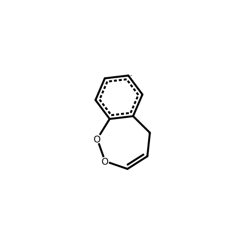 [c]1ccc2c(c1)CC=COO2